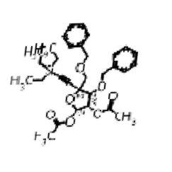 CC[Si](C#C[C@]1(COCc2ccccc2)O[C@H](OC(C)=O)[C@H](OC(C)=O)[C@@H]1OCc1ccccc1)(CC)CC